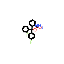 NC(=O)OC(c1ccccc1)(c1ccc(F)cc1)c1ccccc1F